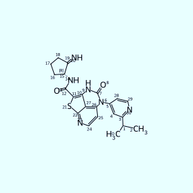 CC(C)c1cc(N2C(=O)Nc3c(C(=O)N[C@@H]4CCCC4=N)sc4nccc2c34)ccn1